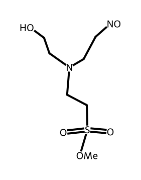 COS(=O)(=O)CCN(CCO)CCN=O